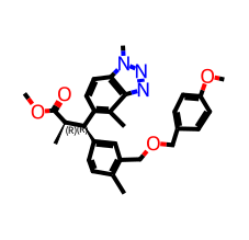 COC(=O)[C@H](C)[C@H](c1ccc(C)c(COCc2ccc(OC)cc2)c1)c1ccc2c(nnn2C)c1C